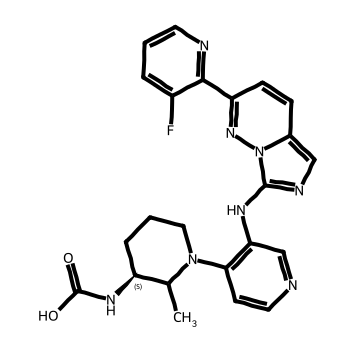 CC1[C@@H](NC(=O)O)CCCN1c1ccncc1Nc1ncc2ccc(-c3ncccc3F)nn12